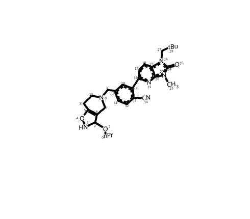 CCCOC1NOC2=C1CN(Cc1ccc(C#N)c(-c3ccc4c(n3)n(C)c(=O)n4CC(C)(C)C)c1)CC2